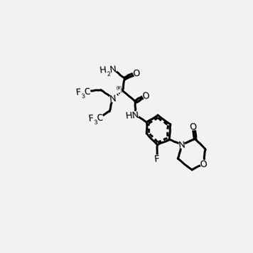 NC(=O)[C@H](C(=O)Nc1ccc(N2CCOCC2=O)c(F)c1)N(CC(F)(F)F)CC(F)(F)F